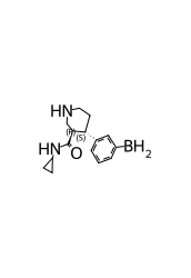 Bc1cccc([C@H]2CCNC[C@@H]2C(=O)NC2CC2)c1